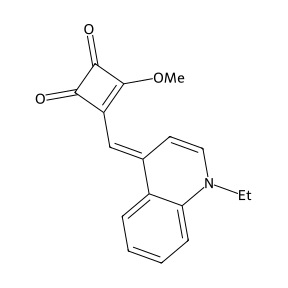 CCN1C=CC(=Cc2c(OC)c(=O)c2=O)c2ccccc21